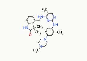 Cc1cc(N2CCN(C)CC2)ccc1Nc1ncc(C(F)(F)F)c(NCc2cccc3c2C(C)(C)C(=O)N3)n1